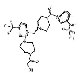 CS(=O)(=O)Nc1ccn(C(=O)N2CCN(Cc3ccc(C(F)(F)F)cc3N3CCN(C(=O)CO)CC3)CC2)n1